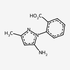 Cc1cc(N)n(-c2ccccc2C(=O)O)n1